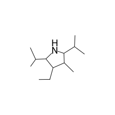 CCC1C(C)C(C(C)C)NC1C(C)C